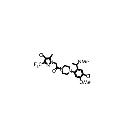 CNC(C)c1cc(Cl)c(OC)cc1N1CCN(C(=O)Cn2nc(C(F)(F)F)c(Cl)c2C)CC1